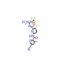 Cc1cc(C#N)cnc1C(=O)Nc1ccc(F)c([C@]2(C)CO[C@@](C)(C(F)(F)F)C(N)=N2)n1